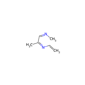 C=C/N=C(C)\C=N/C